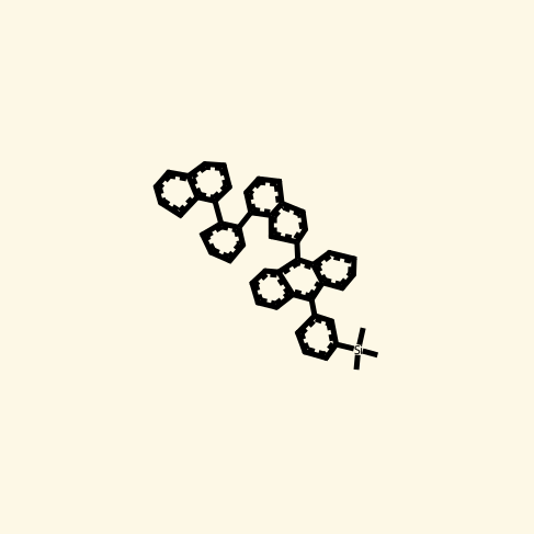 C[Si](C)(C)c1cccc(-c2c3ccccc3c(-c3ccc4cccc(-c5ccccc5-c5cccc6ccccc56)c4c3)c3ccccc23)c1